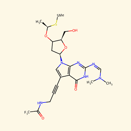 CSS[C@H](C)OC1C[C@H](n2cc(C#CCNC(=O)C(F)(F)F)c3c(=O)[nH]c(/N=C\N(C)C)nc32)O[C@@H]1CO